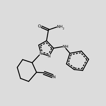 N#CC1CCCCC1n1cc(C(N)=O)c(Nc2ccccc2)n1